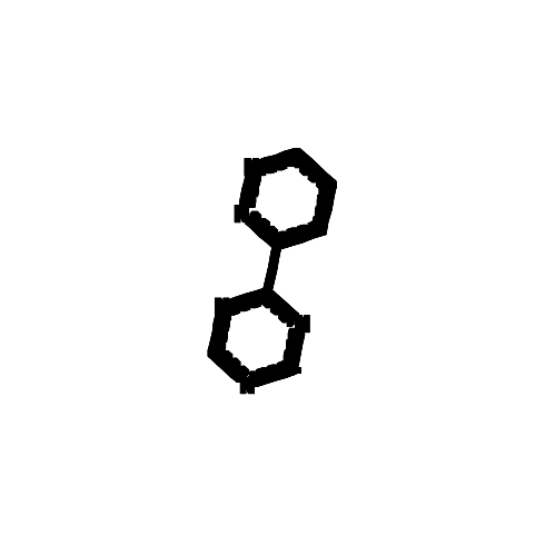 [c]1ncnc(-c2cccnn2)n1